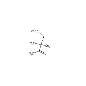 CC(=S)C(C)(C)CC(=O)O